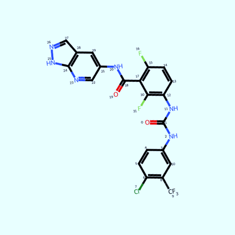 O=C(Nc1ccc(Cl)c(C(F)(F)F)c1)Nc1ccc(F)c(C(=O)Nc2cnc3[nH]ncc3c2)c1F